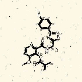 COc1ccnc(C(=O)N[C@@H](C)c2nc(-c3ccc(F)cc3)no2)c1OC(=O)C(C)C